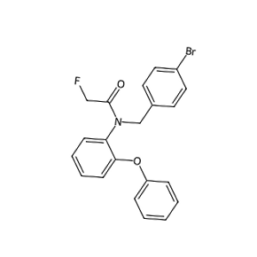 O=C(CF)N(Cc1ccc(Br)cc1)c1ccccc1Oc1ccccc1